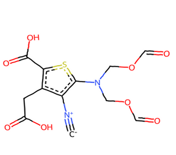 [C-]#[N+]c1c(N(COC=O)COC=O)sc(C(=O)O)c1CC(=O)O